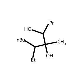 CCCCC(CC)C(C)(O)C(O)C(C)C